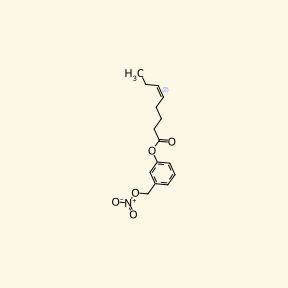 CC/C=C\CCCC(=O)Oc1cccc(CO[N+](=O)[O-])c1